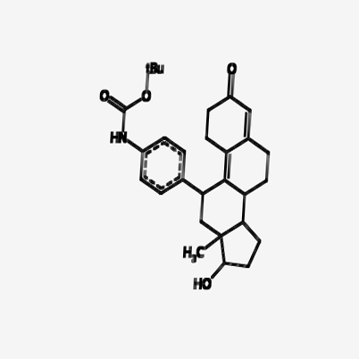 CC(C)(C)OC(=O)Nc1ccc(C2CC3(C)C(O)CCC3C3CCC4=CC(=O)CCC4=C23)cc1